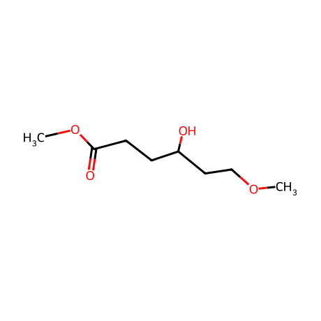 COCCC(O)CCC(=O)OC